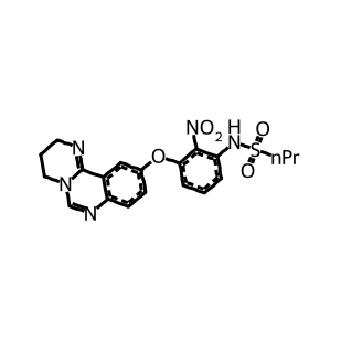 CCCS(=O)(=O)Nc1cccc(Oc2ccc3c(c2)C2=NCCCN2C=N3)c1[N+](=O)[O-]